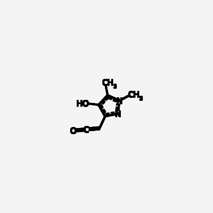 Cc1c(O)c(C=C=O)nn1C